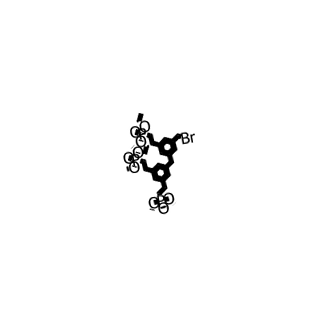 CCOP(=O)(CCc1cc(CBr)cc(Cc2cc(CCP(=O)(OC)OC)cc(CCP(=O)(OC)OC)c2)c1)OCC